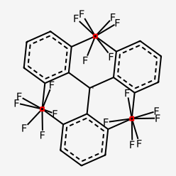 FC(F)(F)c1cccc(C(F)(F)F)c1[C](c1c(C(F)(F)F)cccc1C(F)(F)F)c1c(C(F)(F)F)cccc1C(F)(F)F